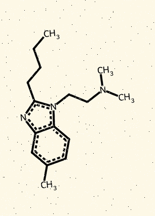 CCCCc1nc2cc(C)ccc2n1CCN(C)C